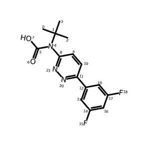 CC(C)(C)N(C(=O)O)c1ccc(-c2cc(F)cc(F)c2)nn1